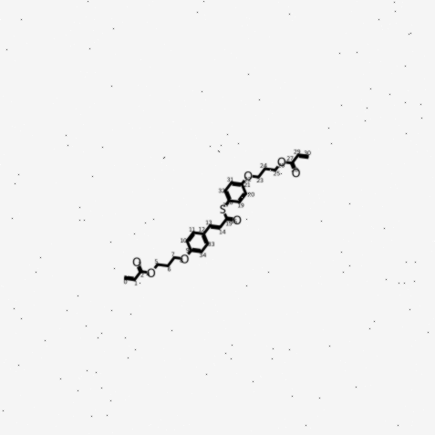 C=CC(=O)OCCCOc1ccc(/C=C/C(=O)Sc2ccc(OCCCOC(=O)C=C)cc2)cc1